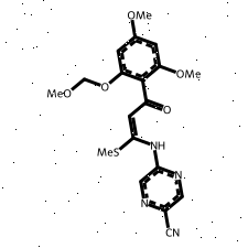 COCOc1cc(OC)cc(OC)c1C(=O)C=C(Nc1cnc(C#N)cn1)SC